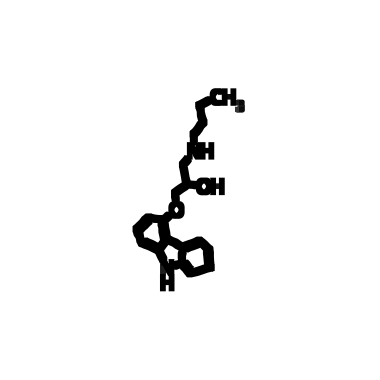 CCCCNCC(O)COc1cccc2[nH]c3ccccc3c12